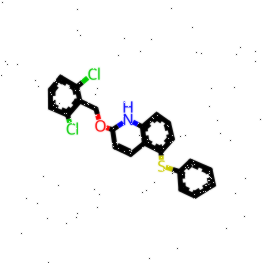 Clc1cccc(Cl)c1COC1C=Cc2c(cccc2Sc2ccccc2)N1